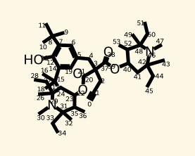 C#CCC(Cc1cc(C(C)(C)C)c(O)c(C(C)(C)C)c1)(C(=O)OC1CC(C)(CC)N(C)C(C)(CC)C1C)C(=O)OC1CC(C)(CC)N(C)C(C)(CC)C1C